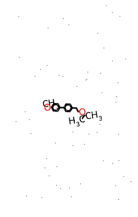 COc1ccc(-c2ccc(CCOC(C)C)cc2)cc1